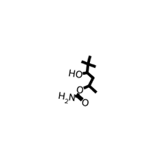 CC(CC(O)C(C)(C)C)OC(N)=O